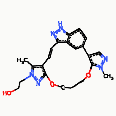 Cc1c2c(nn1CCO)OCCCOc1c(cnn1C)-c1ccc3[nH]nc(c3c1)/C=C/2